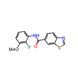 COc1cccc(NC(=O)c2ccc3ncsc3c2)c1F